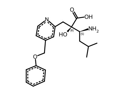 CC(C)C[C@H](N)[C@](O)(Cc1cc(COc2ccccc2)ccn1)C(=O)O